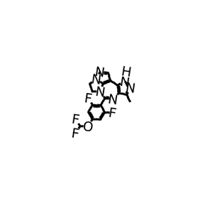 Cc1n[nH]c2c1N=C(c1c(F)cc(OC(F)F)cc1F)N1CCn3ncc-2c31